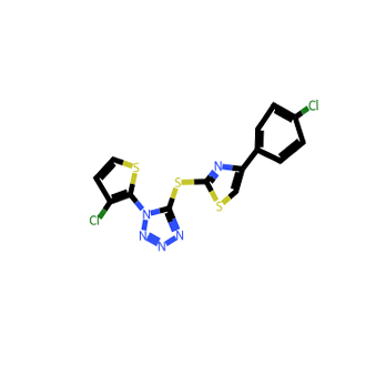 Clc1ccc(-c2csc(Sc3nnnn3-c3sccc3Cl)n2)cc1